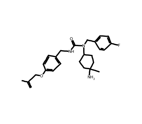 C=C(C)COc1ccc(CNC(=O)N(Cc2ccc(F)cc2)C2CCC(C)(N)CC2)cc1